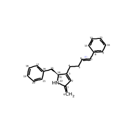 C=C1C=C(CC/C=C/c2ccccc2)[C@H](Cc2ccccc2)N1